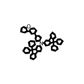 c1ccc(C2(c3ccccc3)c3ccccc3-c3cc(N(c4ccc(-c5ccc6oc7ccccc7c6c5)cc4)c4ccc5c(c4)C(c4ccccc4)(c4ccccc4)c4ccccc4-5)ccc32)cc1